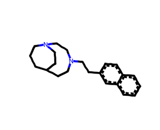 c1ccc2cc(CCN3CCC4CCCN(CC4)CC3)ccc2c1